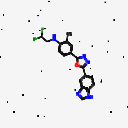 N#Cc1cc(-c2nnc(-c3ccc4[nH]cnc4c3)o2)ccc1NCC(F)F